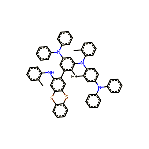 Cc1ccccc1Nc1cc2c(cc1-c1cc(N(c3ccccc3)c3ccccc3)cc3c1Bc1cc(N(c4ccccc4)c4ccccc4)ccc1N3c1ccccc1C)Sc1ccccc1S2